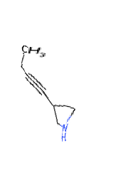 CCC#CC1CNC1